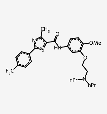 CCCN(CCC)CCOc1cc(NC(=O)c2sc(-c3ccc(C(F)(F)F)cc3)nc2C)ccc1OC